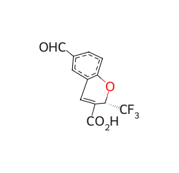 O=Cc1ccc2c(c1)C=C(C(=O)O)[C@@H](C(F)(F)F)O2